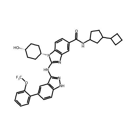 O=C(NC1CCC(C2CCC2)C1)c1ccc2c(c1)nc(Nc1n[nH]c3ccc(-c4ccccc4OC(F)(F)F)cc13)n2[C@H]1CC[C@@H](O)CC1